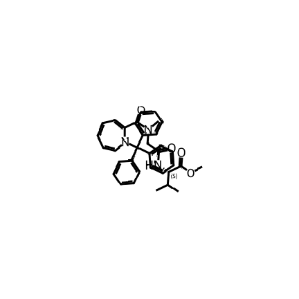 COC(=O)[C@@H](NC(=O)CN(C)C(=O)C1=CC=CC=CN1C(c1ccccc1)(c1ccccc1)c1ccccc1)C(C)C